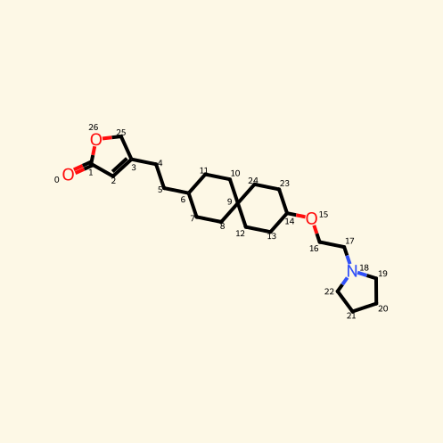 O=C1C=C(CCC2CCC3(CC2)CCC(OCCN2CCCC2)CC3)CO1